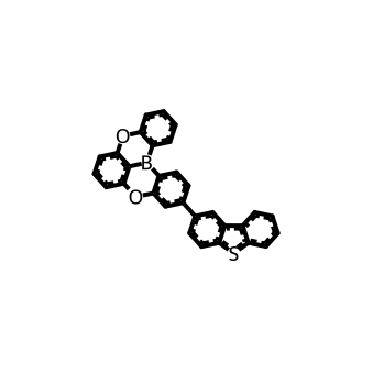 c1ccc2c(c1)Oc1cccc3c1B2c1ccc(-c2ccc4sc5ccccc5c4c2)cc1O3